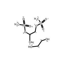 CC(=O)OC(COS(C)(=O)=O)OS(C)(=O)=O.OCCO